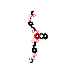 C=CC(=O)OCOc1ccc(/C=C/C(=O)Oc2ccc(OC(=O)/C=C/c3ccc(OCOC(=O)C=C)cc3)c3c2C2c4ccccc4C3c3ccccc32)cc1